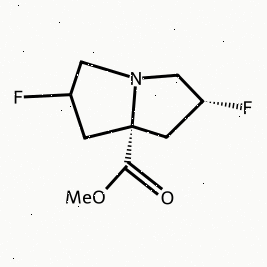 COC(=O)[C@]12CC(F)CN1C[C@H](F)C2